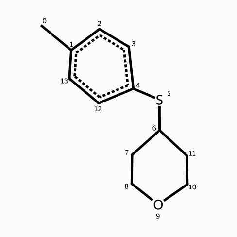 Cc1ccc(SC2CCOCC2)cc1